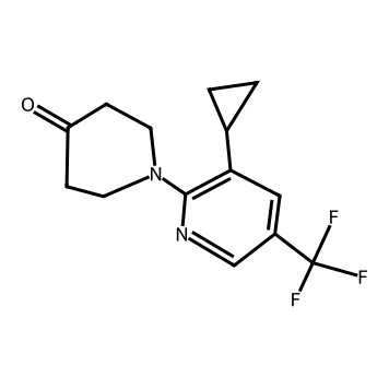 O=C1CCN(c2ncc(C(F)(F)F)cc2C2CC2)CC1